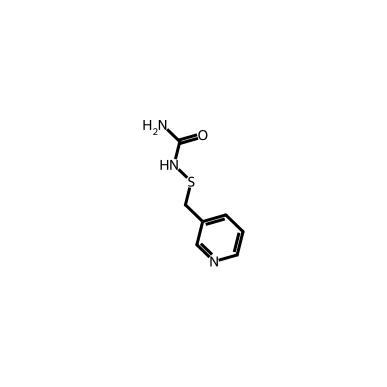 NC(=O)NSCc1cccnc1